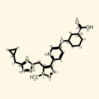 Cn1nnc(-c2ccc(OC3CCC[C@H](C(=O)O)C3)cn2)c1Cn1nnc(CC2CC2)n1